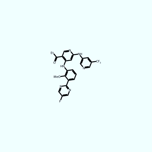 CCC(=O)c1cnc(Nc2cncc(C(F)(F)F)c2)cc1Nc1cccc(-c2ncc(F)cn2)c1OC